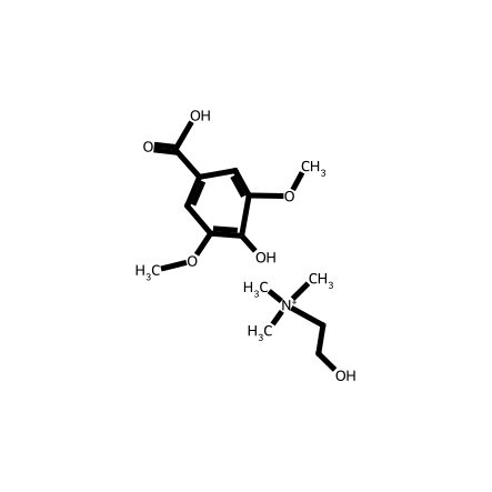 COc1cc(C(=O)O)cc(OC)c1O.C[N+](C)(C)CCO